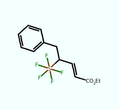 CCOC(=O)C=CC(Cc1ccccc1)S(F)(F)(F)(F)F